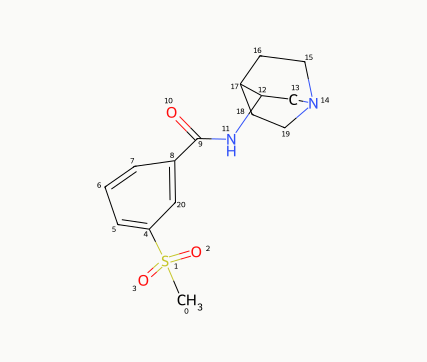 CS(=O)(=O)c1cccc(C(=O)NC2CN3CCC2CC3)c1